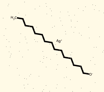 CCCCCCCCCCCCCCC[O-].[Ag+]